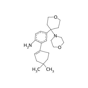 CC1(C)CC=C(c2cc(C3(N4CCOCC4)CCOCC3)ccc2N)CC1